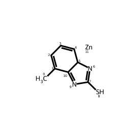 CC1=CC=CC2N=C(S)N=C12.[Zn]